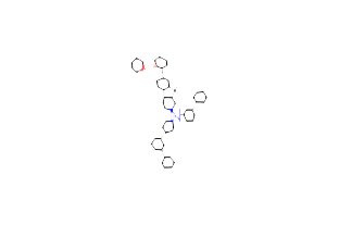 CC1(C)c2cc(-c3ccccc3Oc3ccccc3)ccc2-c2ccc(N(c3ccc(-c4cccc(-c5ccccc5)c4)cc3)c3cccc(-c4ccccc4)c3)cc21